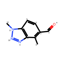 Cc1c(C=O)ccc2c1nnn2C